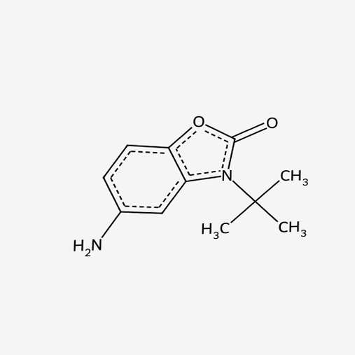 CC(C)(C)n1c(=O)oc2ccc(N)cc21